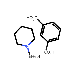 CCCCCCCN1CCCCC1.O=C(O)c1cccc(C(=O)O)c1